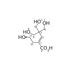 O=C(O)C(=CC(CO)(CO)CO)CCO